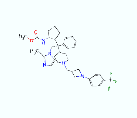 COC(=O)NC1CCCC1C(Cn1ccnc1C)(c1ccccc1)C1CCN(CC2CN(c3ccc(C(F)(F)F)cc3)C2)CC1